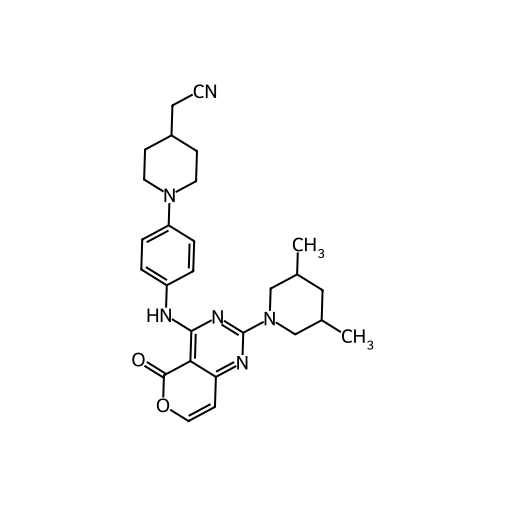 CC1CC(C)CN(c2nc(Nc3ccc(N4CCC(CC#N)CC4)cc3)c3c(=O)occc3n2)C1